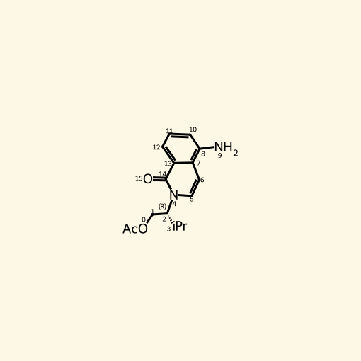 CC(=O)OC[C@@H](C(C)C)n1ccc2c(N)cccc2c1=O